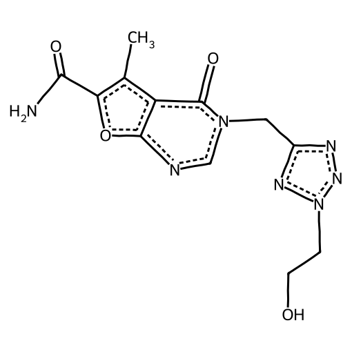 Cc1c(C(N)=O)oc2ncn(Cc3nnn(CCO)n3)c(=O)c12